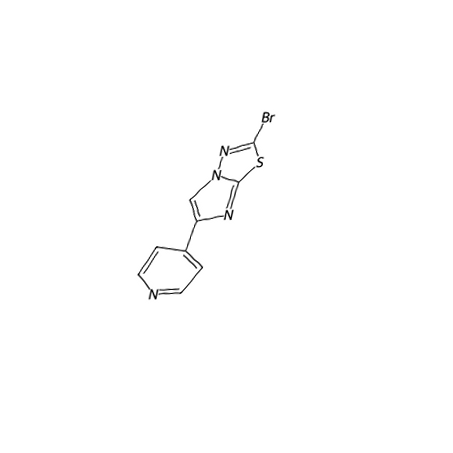 Brc1nn2cc(-c3ccncc3)nc2s1